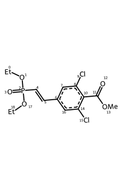 CCOP(=O)(/C=C/c1cc(Cl)c(C(=O)OC)c(Cl)c1)OCC